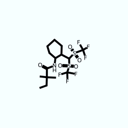 CCC(C)(C)C(=O)NC1CCCCC1C(S(=O)(=O)C(F)(F)F)S(=O)(=O)C(F)(F)F